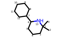 CC1(C)CCCC(C2CCCCC2)N1